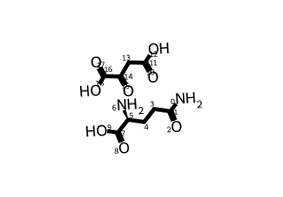 NC(=O)CC[C@H](N)C(=O)O.O=C(O)CC(=O)C(=O)O